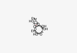 CC[C@H]1OC(=O)[C@H](C)[C@@H](O[C@H]2CC(N(C)CC)C(O)[C@@H](C)O2)[C@H](C)[C@@H](O)[C@](C)(O)C[C@@H](C)C(=O)[C@H](C)[C@@H](O)[C@H]1C